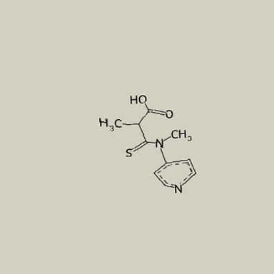 CC(C(=O)O)C(=S)N(C)c1ccncc1